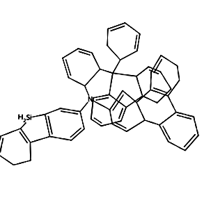 C1=CCC(C2(C3C=CC=CC3N(C3=CC4C5=C(CCC=C5)c5ccccc5C4C=C3)c3ccc4c(c3)[SiH2]C3=C4CCC=C3)c3ccccc3C3CCC=CC32)C=C1